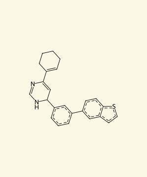 C1=NC(C2=CCCCC2)=CC(c2cccc(-c3ccc4sccc4c3)c2)N1